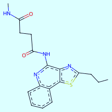 CCCc1nc2c(NC(=O)CCC(=O)NC)nc3ccccc3c2s1